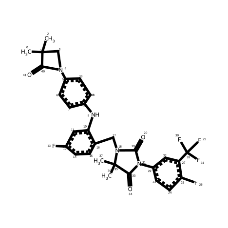 CC1(C)CN(c2ccc(Nc3cc(F)ccc3CN3C(=O)N(c4ccc(F)c(C(F)(F)F)c4)C(=O)C3(C)C)cc2)C1=O